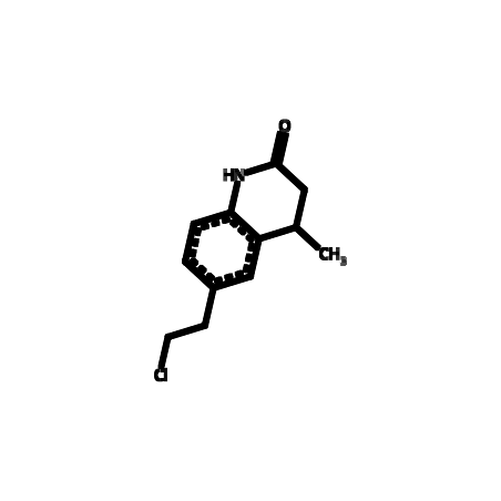 CC1CC(=O)Nc2ccc(CCCl)cc21